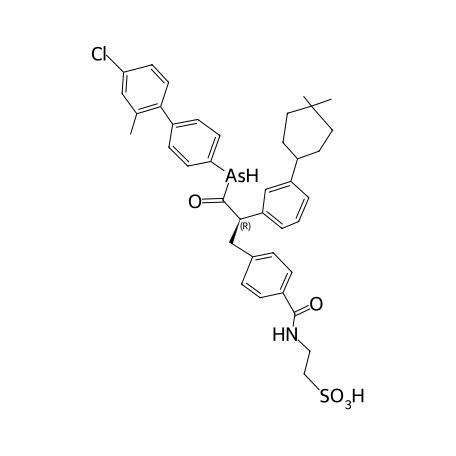 Cc1cc(Cl)ccc1-c1ccc([AsH]C(=O)[C@H](Cc2ccc(C(=O)NCCS(=O)(=O)O)cc2)c2cccc(C3CCC(C)(C)CC3)c2)cc1